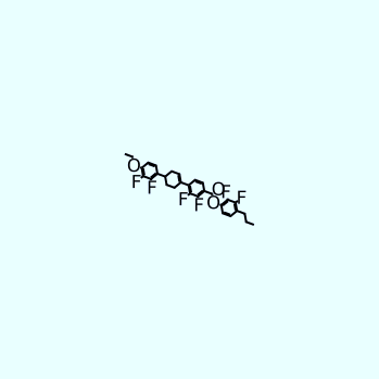 CCCc1ccc(OC(=O)c2ccc(C3=CCC(c4ccc(OCC)c(F)c4F)CC3)c(F)c2F)c(F)c1F